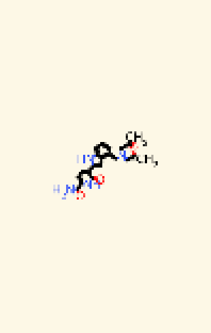 C[C@@H]1CN(Cc2cccc3[nH]c(-c4c[c]c(C(N)=O)[nH]c4=O)cc23)C[C@H](C)O1